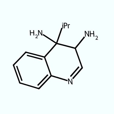 CC(C)C1(N)c2ccccc2N=CC1N